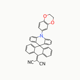 N#CC(C#N)=C1c2ccccc2C2(c3ccccc31)c1ccccc1N(c1ccc3c(c1)OCCO3)c1ccccc12